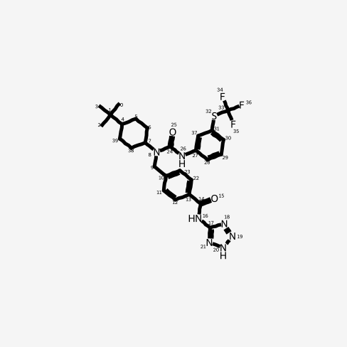 CC(C)(C)C1CCC(N(Cc2ccc(C(=O)Nc3nn[nH]n3)cc2)C(=O)Nc2cccc(SC(F)(F)F)c2)CC1